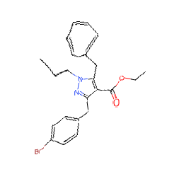 CCCn1nc(Cc2ccc(Br)cc2)c(C(=O)OCC)c1Cc1ccccc1